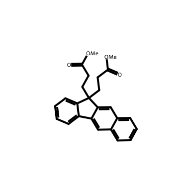 COC(=O)CCC1(CCC(=O)OC)c2ccccc2-c2cc3ccccc3cc21